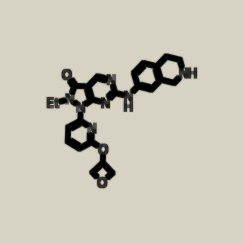 CCn1c(=O)c2cnc(Nc3ccc4c(c3)CNCC4)nc2n1-c1cccc(OC2COC2)n1